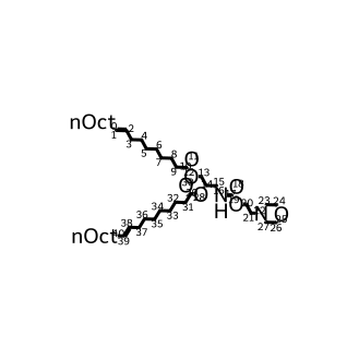 CCCCCCCCC=CCCCCCCCC(=O)OCC(CNC(=O)OCCN1CCOCC1)OC(=O)CCCCCCCC=CCCCCCCCC